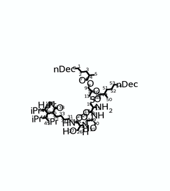 CCCCCCCCCCCCCC(C)C(=O)OCC(CSCC(N)C(=O)N[C@@H](CO)C(=O)NC(CO)C(=O)NCCCCC(C(N)=O)C(C(C(C)C)C(C)C)C(C(C)C)C(C)C)OC(=O)C(C)CCCCCCCCCCCCC